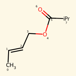 CC=CCOC(=O)C(C)C